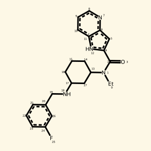 CCN(C(=O)c1cc2ncccc2[nH]1)C1CCCC(NCc2cccc(F)c2)C1